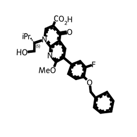 COc1nc2c(cc1-c1ccc(OCc3ccccc3)c(F)c1)c(=O)c(C(=O)O)cn2[C@H](CO)C(C)C